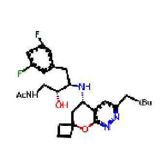 CC(=O)NC[C@@H](O)C(Cc1cc(F)cc(F)c1)N[C@H]1CC2(CCC2)Oc2nnc(CC(C)(C)C)cc21